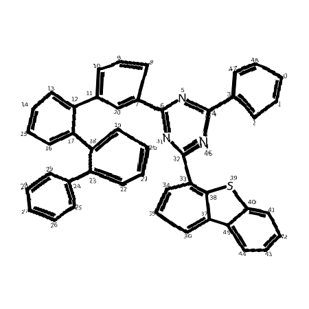 c1ccc(-c2nc(-c3cccc(-c4ccccc4-c4ccccc4-c4ccccc4)c3)nc(-c3cccc4c3sc3ccccc34)n2)cc1